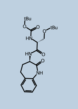 CC(C)(C)OC[C@@H](NC(=O)OC(C)(C)C)C(=O)N[C@@H]1CCc2ccccc2NC1=O